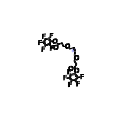 O=C(CCOC/C=C\COCCC(=O)Oc1c(F)c(F)c(F)c(F)c1F)Oc1c(F)c(F)c(F)c(F)c1F